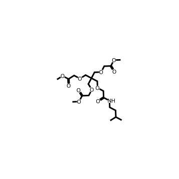 COC(=O)COCC(COCC(=O)NCCC(C)C)(COCC(=O)OC)COCC(=O)OC